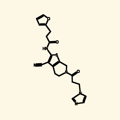 N#Cc1c(NC(=O)CCc2ccco2)sc2c1CCN(C(=O)CCn1ccnc1)C2